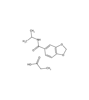 CC(C)NC(=O)c1ccc2c(c1)OCO2.CCC(=O)O